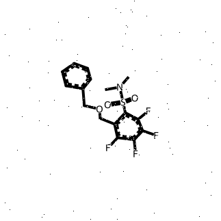 CN(C)S(=O)(=O)c1c(F)c(F)c(F)c(F)c1COCc1ccccc1